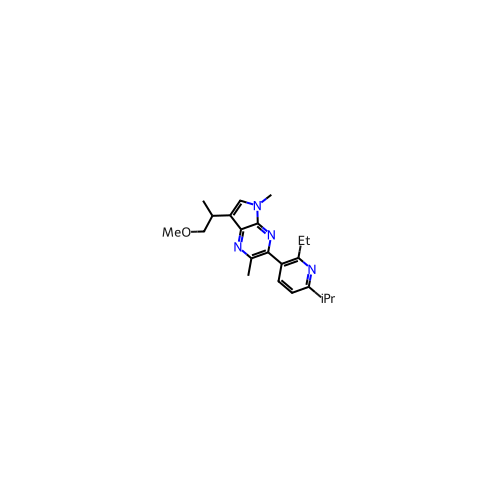 CCc1nc(C(C)C)ccc1-c1nc2c(nc1C)c(C(C)COC)cn2C